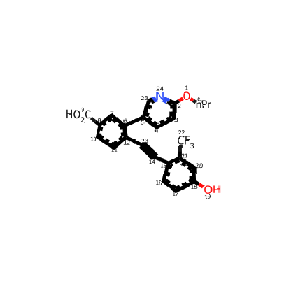 CCCOc1ccc(-c2cc(C(=O)O)ccc2C#Cc2ccc(O)cc2C(F)(F)F)cn1